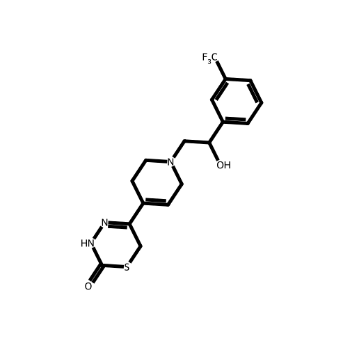 O=C1NN=C(C2=CCN(CC(O)c3cccc(C(F)(F)F)c3)CC2)CS1